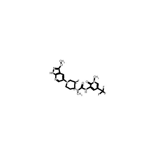 COc1n[nH]c2ncc(N3CC[C@@H](N(C)C(=O)Nc4cc(C(F)(F)F)cn(C)c4=O)[C@H](F)C3)cc12